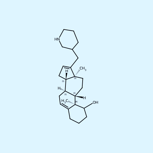 C[C@]12CC[C@H]3[C@@H](CC=C4CCCC(O)[C@@]43C)[C@@H]1CC=C2CC1CCCNC1